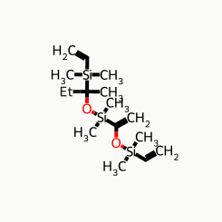 C=C[Si](C)(C)OC(=C)[Si](C)(C)OC(C)(CC)[Si](C)(C)C=C